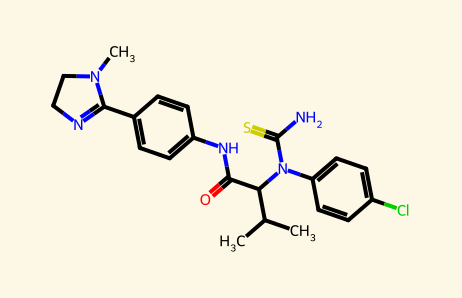 CC(C)C(C(=O)Nc1ccc(C2=NCCN2C)cc1)N(C(N)=S)c1ccc(Cl)cc1